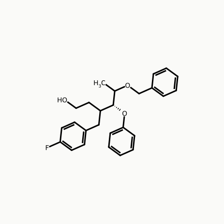 CC(OCc1ccccc1)[C@H](Oc1ccccc1)C(CCO)Cc1ccc(F)cc1